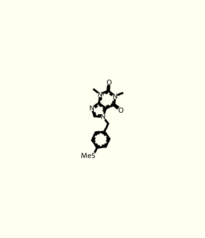 CSc1ccc(Cn2cnc3c2c(=O)n(C)c(=O)n3C)cc1